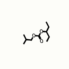 CCC(CC)OC(=O)OCC(C)C